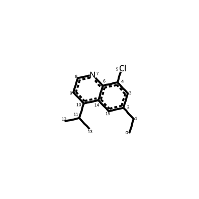 CCc1cc(Cl)c2nccc(C(C)C)c2c1